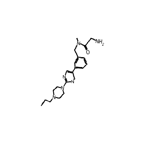 CCCN1CCN(c2ncc(-c3cccc(CN(C)C(=O)CN)c3)cn2)CC1